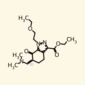 CCOCCn1nc(C(=O)OCC)c2c1C(=O)/C(=C\N(C)C)CC2